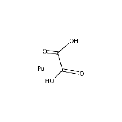 O=C(O)C(=O)O.[Pu]